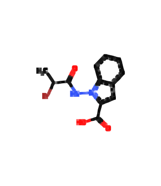 CC(Br)C(=O)Nn1c(C(=O)O)cc2ccccc21